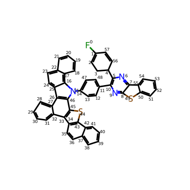 FC1=CCC(c2nc3c(nc2-c2ccc(-n4c5c6ccccc6ccc5c5c6ccccc6c6c7ccc8ccccc8c7sc6c54)cc2)sc2ccccc23)C=C1